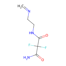 C=NCCNC(=O)C(F)(F)C(N)=O